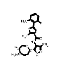 Cc1cccc(F)c1-c1nc(C(=O)Nc2c(C)n[nH]c2[C@@H]2CC[C@@H](N)[C@H](F)CO2)c(C)s1